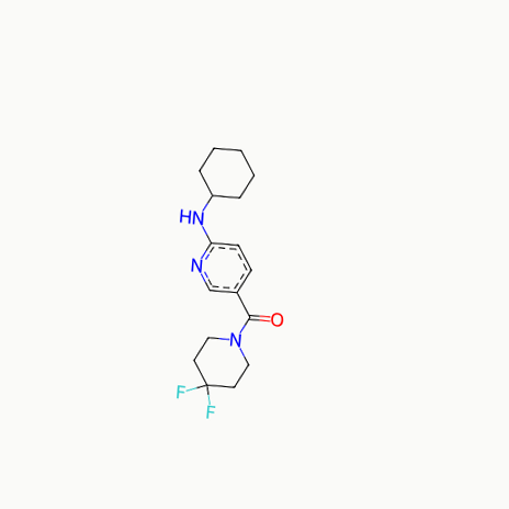 O=C(c1ccc(NC2CCCCC2)nc1)N1CCC(F)(F)CC1